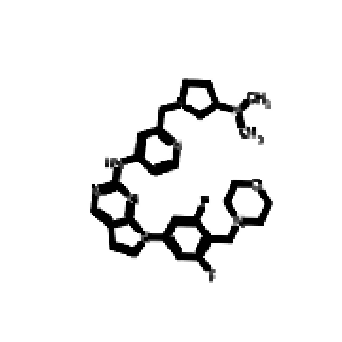 CN(C)C1CCN(Cc2cc(Nc3ncc4ccn(-c5cc(F)c(CN6CCOCC6)c(F)c5)c4n3)ccn2)C1